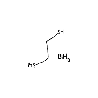 SCCS.[BiH3]